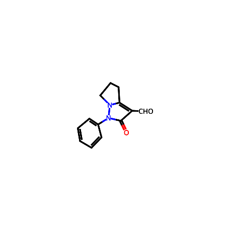 O=Cc1c2n(n(-c3ccccc3)c1=O)CCC2